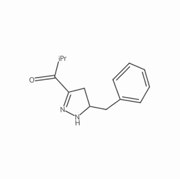 CC(C)C(=O)C1=NNC(Cc2ccccc2)C1